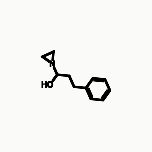 OC(CCc1ccccc1)N1CC1